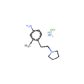 Cc1cc(N)ccc1CCN1CCCC1.Cl.Cl.N